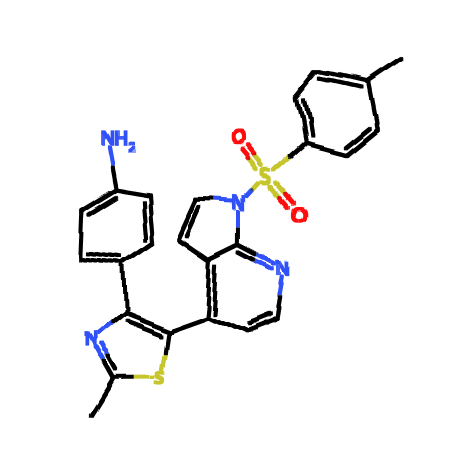 Cc1ccc(S(=O)(=O)n2ccc3c(-c4sc(C)nc4-c4ccc(N)cc4)ccnc32)cc1